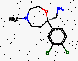 NC[C@]1(c2ccc(Cl)c(Cl)c2)CCN(C(=O)O)CCO1